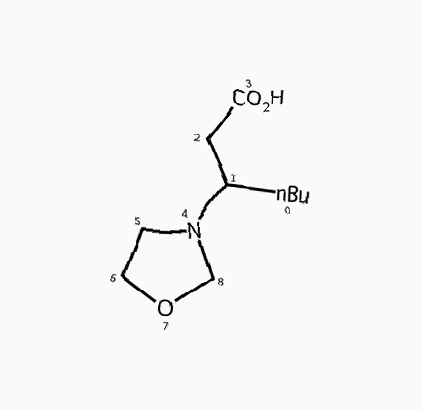 CCCCC(CC(=O)O)N1CCOC1